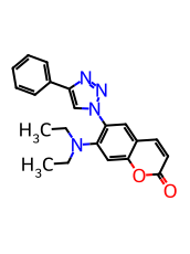 CCN(CC)c1cc2oc(=O)ccc2cc1-n1cc(-c2ccccc2)nn1